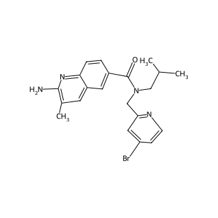 Cc1cc2cc(C(=O)N(Cc3cc(Br)ccn3)CC(C)C)ccc2nc1N